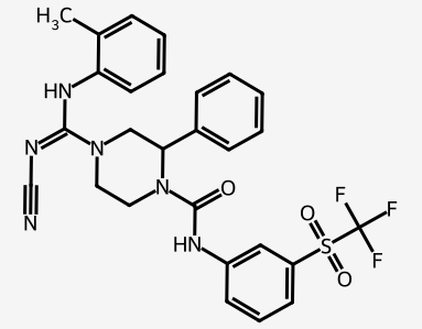 Cc1ccccc1N/C(=N/C#N)N1CCN(C(=O)Nc2cccc(S(=O)(=O)C(F)(F)F)c2)C(c2ccccc2)C1